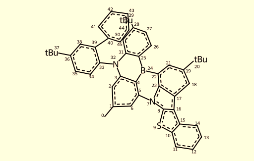 Cc1cc2c3c(c1)-n1c4sc5ccccc5c4c4cc(C(C)(C)C)cc(c41)B3c1ccc(C(C)(C)C)cc1N2c1ccc(C(C)(C)C)cc1-c1ccccc1